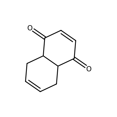 O=C1C=CC(=O)C2CC=CCC12